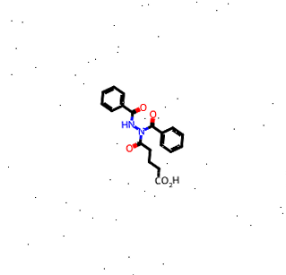 O=C(O)CCCC(=O)N(NC(=O)c1ccccc1)C(=O)c1ccccc1